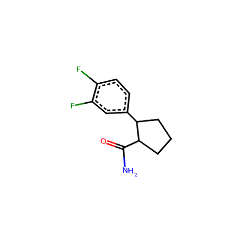 NC(=O)C1CCCC1c1ccc(F)c(F)c1